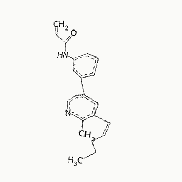 C=CC(=O)Nc1cccc(-c2cnc(C)c(/C=C\CCC)c2)c1